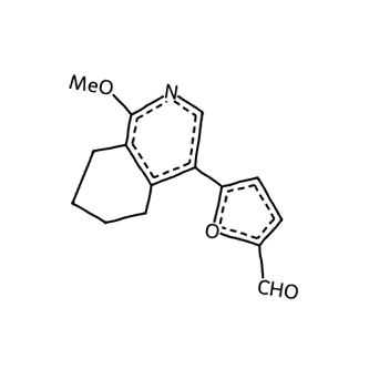 COc1ncc(-c2ccc(C=O)o2)c2c1CCCC2